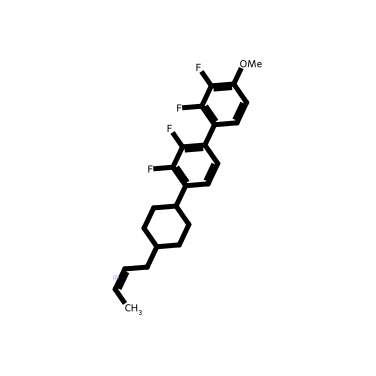 C/C=C\CC1CCC(c2ccc(-c3ccc(OC)c(F)c3F)c(F)c2F)CC1